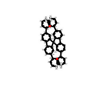 c1cc(-c2ccc3c(c2)C2(c4cc(-c5ccncc5)ccc4-3)c3cc(-c4ccncc4)ccc3-c3ccc(-c4ccncc4)cc32)ccn1